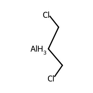 ClCCCCl.[AlH3]